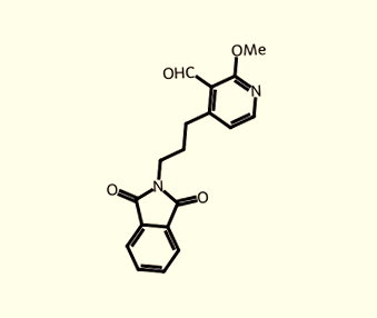 COc1nccc(CCCN2C(=O)c3ccccc3C2=O)c1C=O